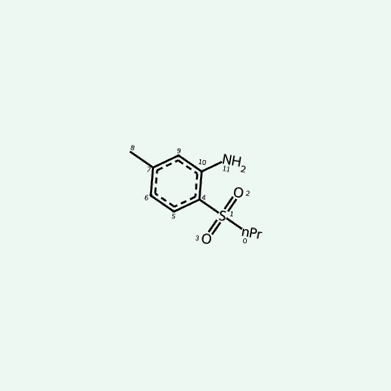 CCCS(=O)(=O)c1ccc(C)cc1N